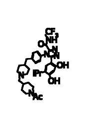 CC(=O)N1CCC(CN2CCC(Cc3ccc(-n4c(C(=O)NCC(F)(F)F)nnc4-c4cc(C(C)C)c(O)cc4O)cc3)CC2)CC1